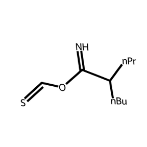 [CH2]CCCC(CCC)C(=N)OC=S